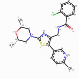 Cc1ccc(-c2sc(N3C[C@@H](C)O[C@@H](C)C3)nc2CNC(=O)c2ccccc2Cl)cn1